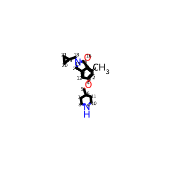 Cc1cc(OCC2CCNCC2)cc2c1C(=O)N(CC1CC1)C2